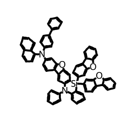 c1ccc(-c2ccc(N(c3ccc4c(c3)oc3cc5c(cc34)N(c3ccccc3)c3ccccc3[Si]5(c3ccc4c(c3)oc3ccccc34)c3ccc4c(c3)oc3ccccc34)c3cccc4ccccc34)cc2)cc1